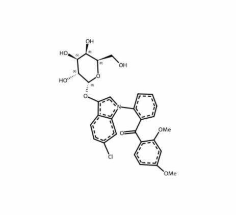 COc1ccc(C(=O)c2ccccc2-n2cc(O[C@H]3O[C@H](CO)[C@H](O)[C@H](O)[C@H]3O)c3ccc(Cl)cc32)c(OC)c1